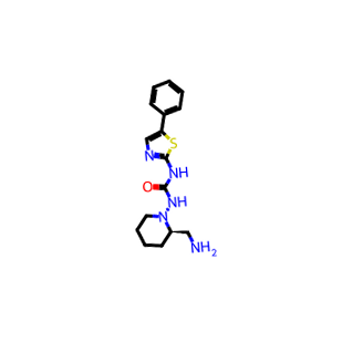 NC[C@H]1CCCCN1NC(=O)Nc1ncc(-c2ccccc2)s1